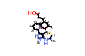 Cc1cc(CCCO)ccc1[C@@H]1SC[C@@H](C)Nc2c1c(-c1ccccn1)nn2C